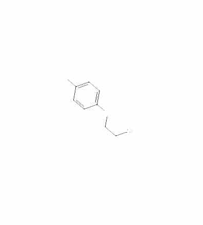 C[C@@H](N)COc1ccc(F)cc1